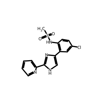 CS(=O)(=O)Nc1ccc(Cl)cc1-c1c[nH]c(-c2ccccn2)n1